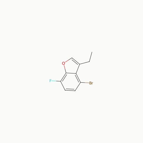 CCc1coc2c(F)ccc(Br)c12